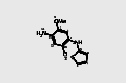 COc1cc(Nc2cccs2)c(Cl)cc1N